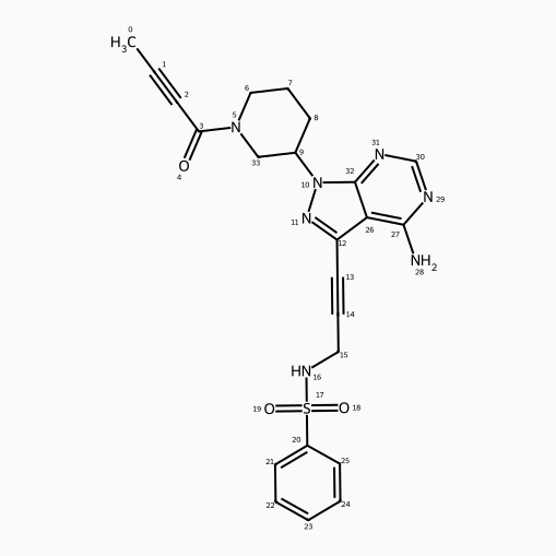 CC#CC(=O)N1CCCC(n2nc(C#CCNS(=O)(=O)c3ccccc3)c3c(N)ncnc32)C1